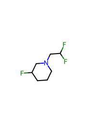 FC(F)CN1CCCC(F)C1